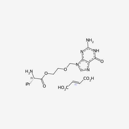 CC(C)[C@H](N)C(=O)OCCOCn1cnc2c(=O)[nH]c(N)nc21.O=C(O)/C=C/C(=O)O